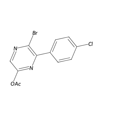 CC(=O)Oc1cnc(Br)c(-c2ccc(Cl)cc2)n1